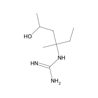 CCC(C)(CC(C)O)NC(=N)N